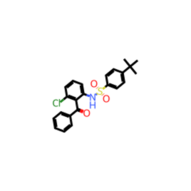 CC(C)(C)c1ccc(S(=O)(=O)Nc2cccc(Cl)c2C(=O)c2ccccc2)cc1